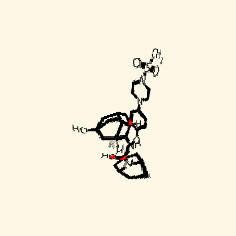 CS(=O)(=O)N1CCN(c2ccc(OCC3(O)CC4CCC(C3)N4C(=O)NC3[C@@H]4CC5C[C@H]3CC(O)(C5)C4)cc2)CC1